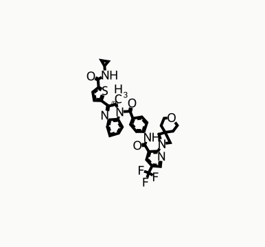 C[C@@H]1C(c2ccc(C(=O)NC3CC3)s2)=Nc2ccccc2N1C(=O)c1ccc(NC(=O)c2cc(C(F)(F)F)cnc2N2CC3(CCOCC3)C2)cc1